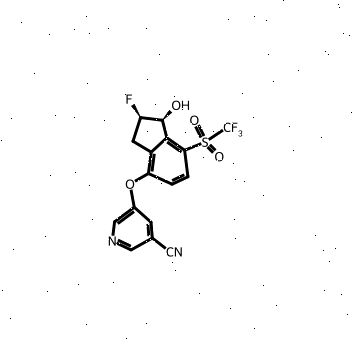 N#Cc1cncc(Oc2ccc(S(=O)(=O)C(F)(F)F)c3c2C[C@@H](F)[C@H]3O)c1